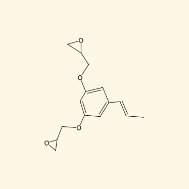 CC=Cc1cc(OCC2CO2)cc(OCC2CO2)c1